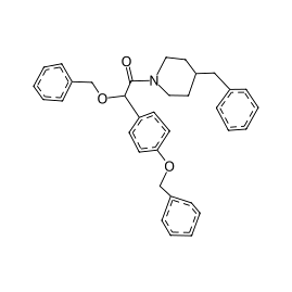 O=C(C(OCc1ccccc1)c1ccc(OCc2ccccc2)cc1)N1CCC(Cc2ccccc2)CC1